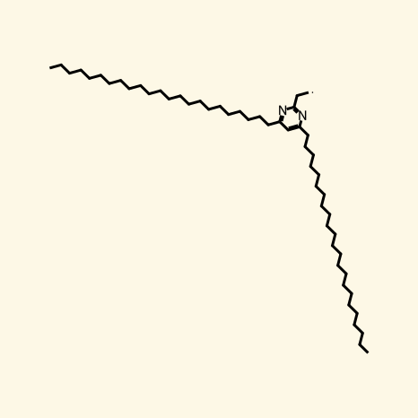 [CH2]Cc1nc(CCCCCCCCCCCCCCCCCCCCCCC)cc(CCCCCCCCCCCCCCCCCCCCCCC)n1